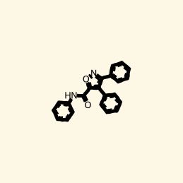 O=C(Nc1ccccc1)c1onc(-c2ccccc2)c1-c1ccccc1